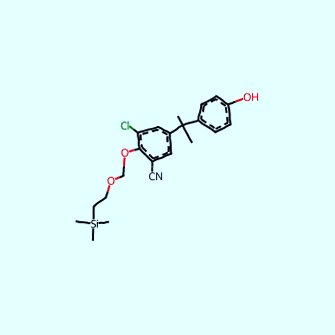 CC(C)(c1ccc(O)cc1)c1cc(Cl)c(OCOCC[Si](C)(C)C)c(C#N)c1